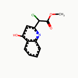 COC(=O)C(Cl)c1cc(O)c2ccccc2n1